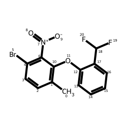 Cc1ccc(Br)c([N+](=O)[O-])c1Oc1ccccc1C(F)F